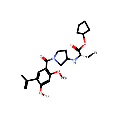 C=C(C)c1cc(C(=O)N2CCC(N[C@@H](CC(C)C)C(=O)OC3CCCC3)C2)c(OCCCC)cc1OCCCC